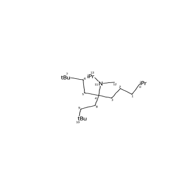 CC(C)CCCC(CCC(C)(C)C)(CCC(C)(C)C)N(C)C(C)C